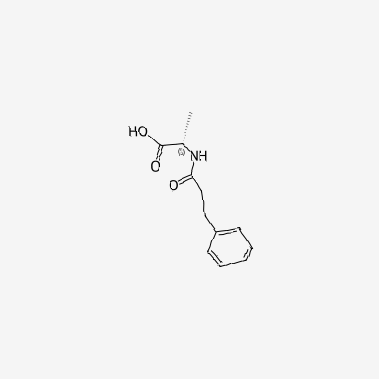 C[C@H](NC(=O)CCc1ccccc1)C(=O)O